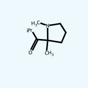 CC(C)C(=O)C1(C)CCCN1C